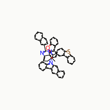 CC1C/C=C(c2c(-n3c4ccccc4c4cc5ccccc5cc43)ccc3c2oc2ccccc23)/N=C(c2ccc3ccccc3c2)\N=C/1c1ccc2sc3ccccc3c2c1